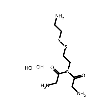 Cl.Cl.NCCSSCCN(C(=O)CN)C(=O)CN